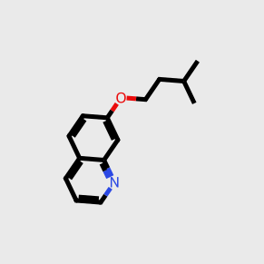 CC(C)CCOc1ccc2cccnc2c1